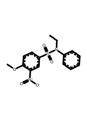 CCN(c1ccccc1)S(=O)(=O)c1ccc(OC)c([N+](=O)[O-])c1